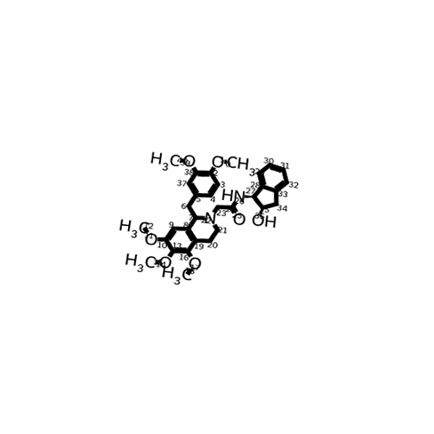 COc1ccc(CC2c3cc(OC)c(OC)c(OC)c3CCN2CC(=O)N[C@H]2c3ccccc3C[C@H]2O)cc1OC